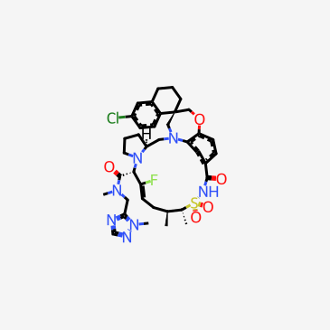 C[C@@H]1[C@@H](C)C/C=C(\F)[C@H](C(=O)N(C)Cc2ncnn2C)N2CCC[C@H]2CN2C[C@@]3(CCCc4cc(Cl)ccc43)COc3ccc(cc32)C(=O)NS1(=O)=O